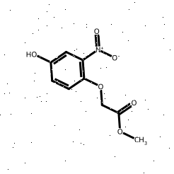 COC(=O)COc1ccc(O)cc1[N+](=O)[O-]